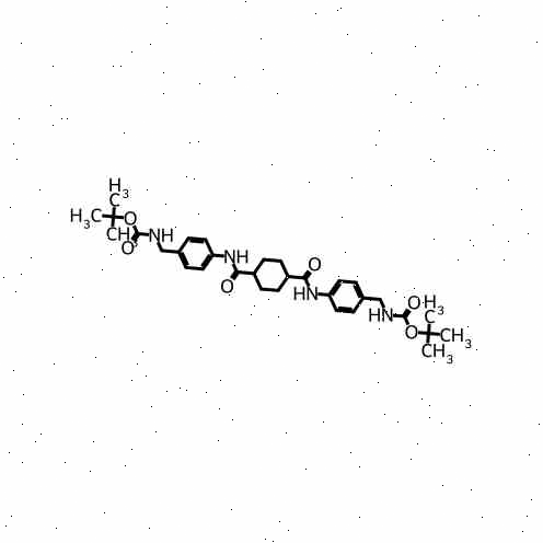 CC(C)(C)OC(=O)NCc1ccc(NC(=O)C2CCC(C(=O)Nc3ccc(CNC(=O)OC(C)(C)C)cc3)CC2)cc1